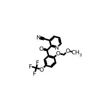 COCOc1ccc(OC(F)(F)F)cc1C(=O)c1ncccc1C#N